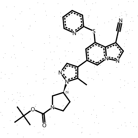 Cc1c(-c2cc(Sc3ccccn3)c3c(C#N)cnn3c2)cnn1[C@H]1CCN(C(=O)OC(C)(C)C)C1